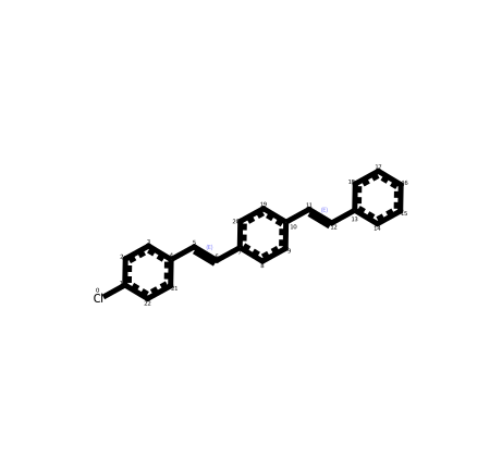 Clc1ccc(/C=C/c2ccc(/C=C/c3ccccc3)cc2)cc1